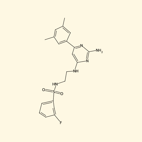 Cc1cc(C)cc(-c2cc(NCCNS(=O)(=O)c3cccc(F)c3)nc(N)n2)c1